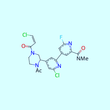 CNC(=O)c1cc(-c2cc(C3CN(C(=O)/C=C\Cl)CCN3C(C)=O)cc(Cl)n2)cc(F)n1